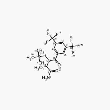 CC(C(N)=O)N(CS(C)(C)C)C(=O)c1cc(C(F)(F)F)cc(C(F)(F)F)c1